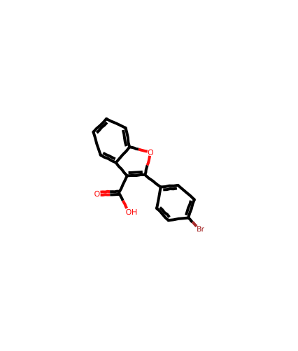 O=C(O)c1c(-c2ccc(Br)cc2)oc2ccccc12